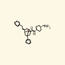 NC[C@H]1CC[C@H](NC(=O)C23CC4CC(c5ccccc5)(CC(C2)C4=CCc2ccccc2)C3)CC1